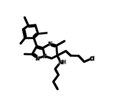 CCCCNC1(CCCCCl)Cn2nc(C)c(-c3c(C)cc(C)cc3C)c2N=C1C